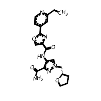 CCc1cc(-c2nc(C(=O)Nc3cn(C[C@@H]4CCCO4)nc3C(N)=O)co2)ccn1